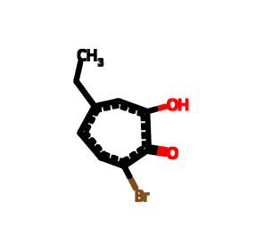 CCc1ccc(Br)c(=O)c(O)c1